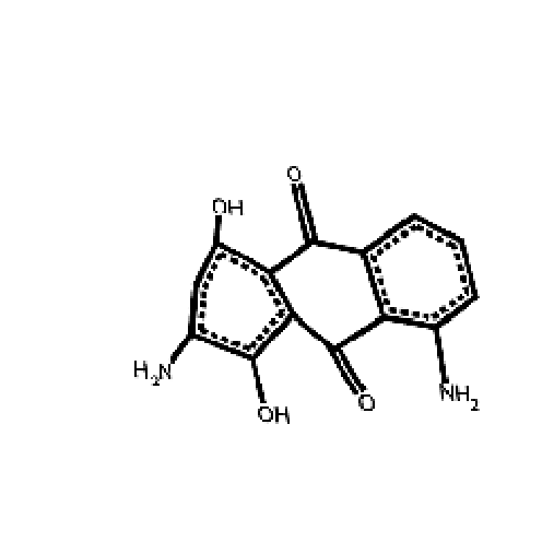 Nc1cc(O)c2c(c1O)C(=O)c1c(N)cccc1C2=O